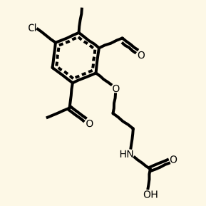 CC(=O)c1cc(Cl)c(C)c(C=O)c1OCCNC(=O)O